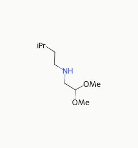 COC(CNCCC(C)C)OC